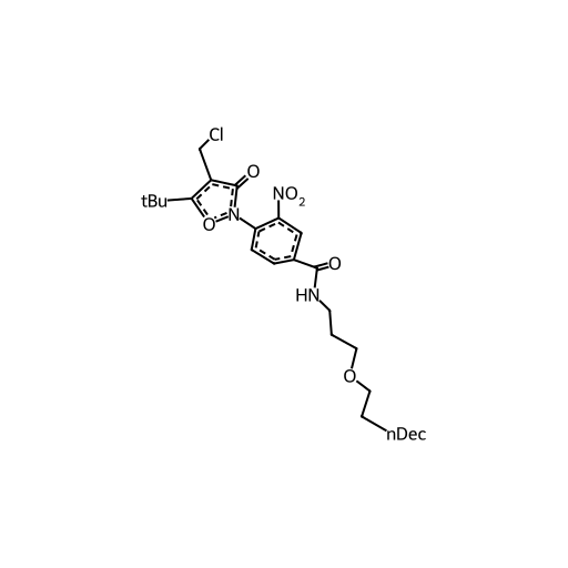 CCCCCCCCCCCCOCCCNC(=O)c1ccc(-n2oc(C(C)(C)C)c(CCl)c2=O)c([N+](=O)[O-])c1